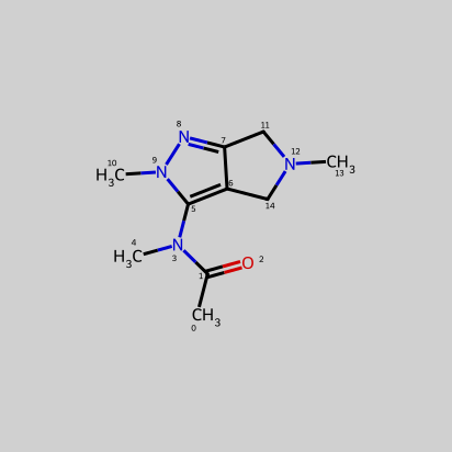 CC(=O)N(C)c1c2c(nn1C)CN(C)C2